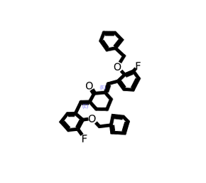 O=C1/C(=C/c2cccc(F)c2OCc2ccccc2)CCC/C1=C\c1cccc(F)c1OCc1ccccc1